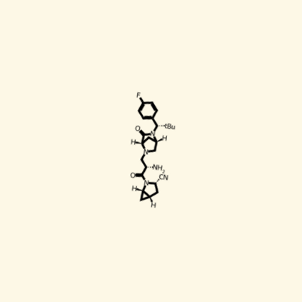 CC(C)(C)[C@@H](c1ccc(F)cc1)N1C(=O)[C@@H]2C[C@H]1CN2C[C@H](N)C(=O)N1[C@H](C#N)C[C@@H]2C[C@@H]21